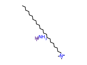 CCCCCCCCCCCCCCCCCCCCCC[N+](C)(C)C.I.N.[I-]